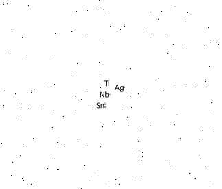 [Ag].[Nb].[Sn].[Ti]